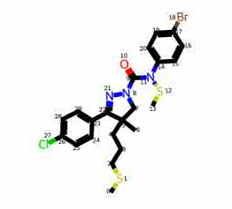 CSCCCC1(C)CN(C(=O)N(SC)c2ccc(Br)cc2)N=C1c1ccc(Cl)cc1